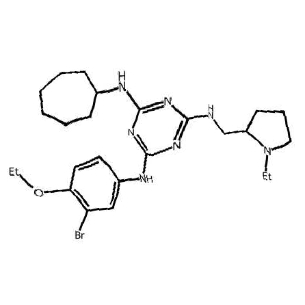 CCOc1ccc(Nc2nc(NCC3CCCN3CC)nc(NC3CCCCCC3)n2)cc1Br